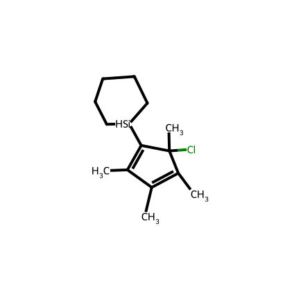 CC1=C(C)C(C)(Cl)C([SiH]2CCCCC2)=C1C